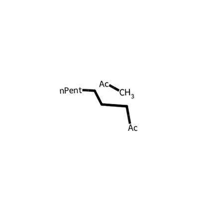 CC(C)=O.CCCCCCCCC(C)=O